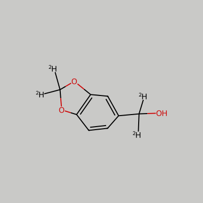 [2H]C1([2H])Oc2ccc(C([2H])([2H])O)cc2O1